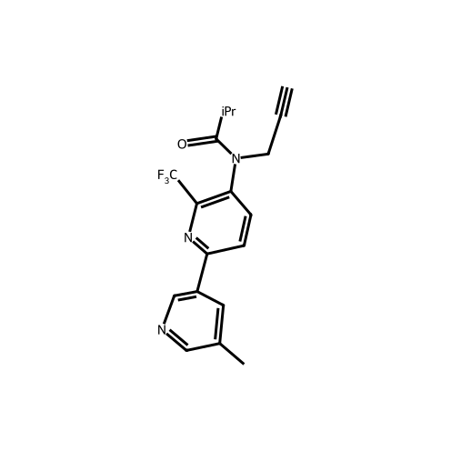 C#CCN(C(=O)C(C)C)c1ccc(-c2cncc(C)c2)nc1C(F)(F)F